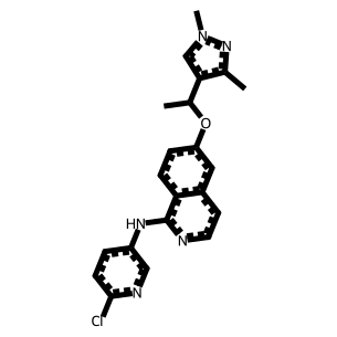 Cc1nn(C)cc1C(C)Oc1ccc2c(Nc3ccc(Cl)nc3)nccc2c1